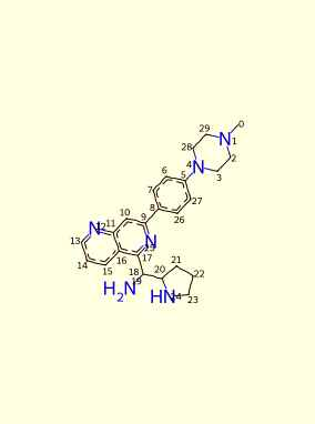 CN1CCN(c2ccc(-c3cc4ncccc4c(C(N)C4CCCN4)n3)cc2)CC1